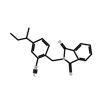 [C-]#[N+]c1cc(C(C)CC)ccc1CN1C(=O)c2ccccc2C1=O